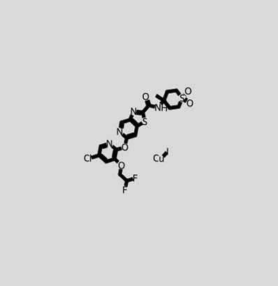 CC1(NC(=O)c2nc3cnc(Oc4ncc(Cl)cc4OCC(F)F)cc3s2)CCS(=O)(=O)CC1.[Cu][I]